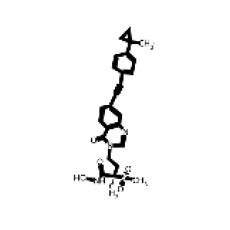 [CH2]C1(c2ccc(C#Cc3ccc4c(=O)n(CC[C@](C)(C(=O)NO)S(C)(=O)=O)cnc4c3)cc2)CC1